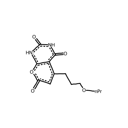 CCCOCCCc1cc(=O)oc2[nH]c(=O)[nH]c(=O)c12